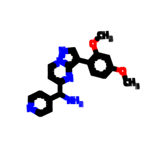 COc1ccc(-c2cnn3ccc(C(N)c4ccncc4)nc23)c(OC)c1